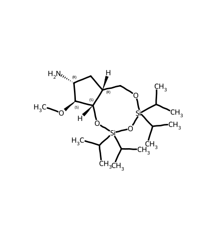 CO[C@@H]1[C@H]2O[Si](C(C)C)(C(C)C)O[Si](C(C)C)(C(C)C)OC[C@H]2C[C@H]1N